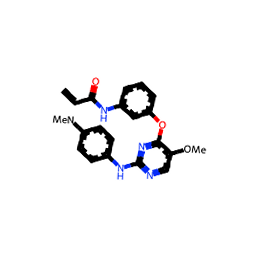 C=CC(=O)Nc1cccc(Oc2nc(Nc3ccc(NC)cc3)ncc2OC)c1